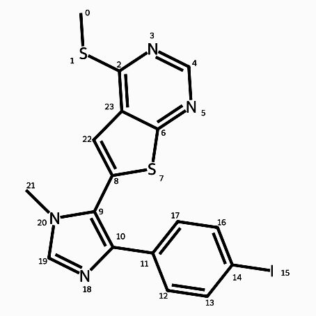 CSc1ncnc2sc(-c3c(-c4ccc(I)cc4)ncn3C)cc12